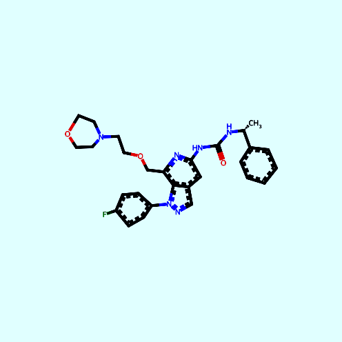 C[C@@H](NC(=O)Nc1cc2cnn(-c3ccc(F)cc3)c2c(COCCN2CCOCC2)n1)c1ccccc1